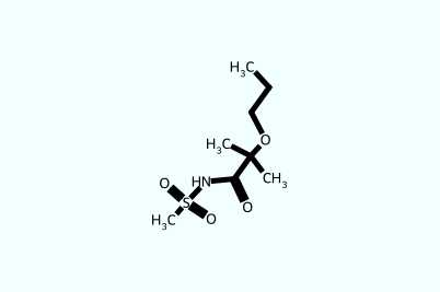 CCCOC(C)(C)C(=O)NS(C)(=O)=O